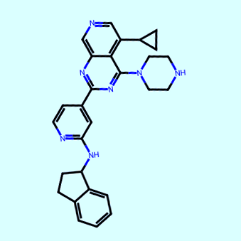 c1ccc2c(c1)CCC2Nc1cc(-c2nc(N3CCNCC3)c3c(C4CC4)cncc3n2)ccn1